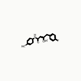 N#Cc1ccc(NC(=O)CC(O)Cc2ccc(F)cc2)cc1